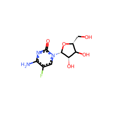 Nc1nc(=O)n([C@@H]2O[C@H](CO)C(O)[C@@H]2O)cc1F